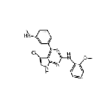 CNc1cccc(-c2nc(Nc3cc[c]cc3OC)nc3[nH]cc(Cl)c23)c1